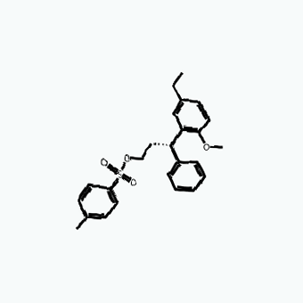 CCc1ccc(OC)c([C@@H](CCOS(=O)(=O)c2ccc(C)cc2)c2ccccc2)c1